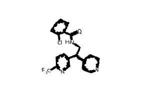 O=C(NCC(c1ccncc1)c1ccc(C(F)(F)F)nc1)c1ccccc1Cl